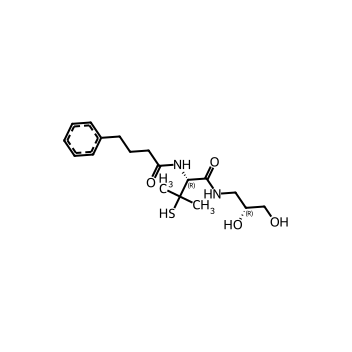 CC(C)(S)[C@H](NC(=O)CCCc1ccccc1)C(=O)NC[C@@H](O)CO